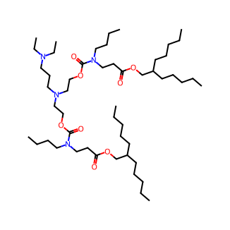 CCCCCC(CCCCC)COC(=O)CCN(CCCC)C(=O)OCCN(CCCN(CC)CC)CCOC(=O)N(CCCC)CCC(=O)OCC(CCCCC)CCCCC